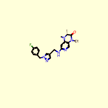 CCN1C(=O)[C@@H](C)N(C)c2cc(NCc3cnn(Cc4ccc(F)cc4)c3)ncc21